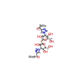 CNC(=O)c1cn([C@H]2[C@@H](O)[C@@H](CO)O[C@@H](S[C@@H]3O[C@H](CO)[C@H](O)[C@H](n4cc(C(=O)NC)nn4)[C@H]3O)[C@@H]2O)nn1